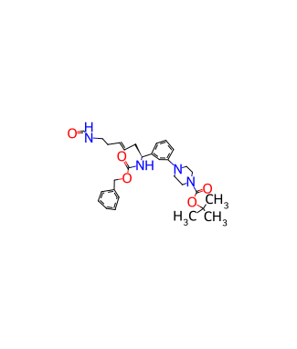 CC(C)(C)OC(=O)N1CCN(c2cccc([C@H](C/C=C/CCNC=O)NC(=O)OCc3ccccc3)c2)CC1